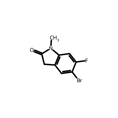 CN1C(=O)Cc2cc(Br)c(F)cc21